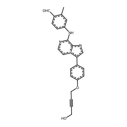 Cc1cc(Nc2nccn3c(-c4ccc(OCC#CCO)cc4)cnc23)ccc1C=O